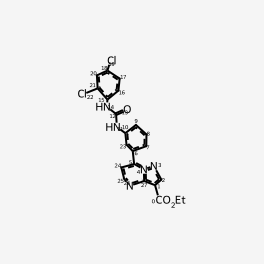 CCOC(=O)c1cnn2c(-c3cccc(NC(=O)Nc4ccc(Cl)cc4Cl)c3)ccnc12